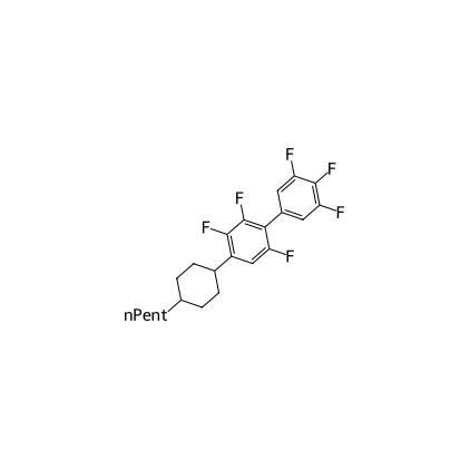 CCCCCC1CCC(c2cc(F)c(-c3cc(F)c(F)c(F)c3)c(F)c2F)CC1